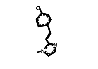 Cn1ccnc1C=Cc1ccc(Cl)cc1